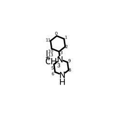 C1CCC(N2CCNCC2)CC1.CI